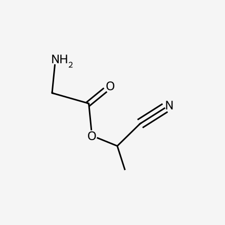 CC(C#N)OC(=O)CN